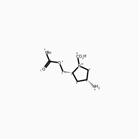 CC(C)(C)C(=O)OC[C@H]1C[C@@H](N)CN1C(=O)O